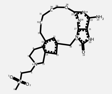 CS(=O)(=O)CCN1CCc2c3cc(cc2C1)Cn1c(=O)[nH]c2c(N)nc(nc21)OCCCCC3